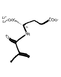 C=C(C)C(=O)N[C@@H](CCC(=O)[O-])C(=O)[O-].[Li+].[Li+]